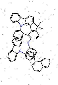 CC1(C)c2ccc(N(c3ccc(-c4cccc5ccccc45)cc3)c3cccc4c5ccccc5n(-c5ccccc5)c34)c3c2-c2c1ccc1c4ccccc4n(c21)-c1ccccc1-3